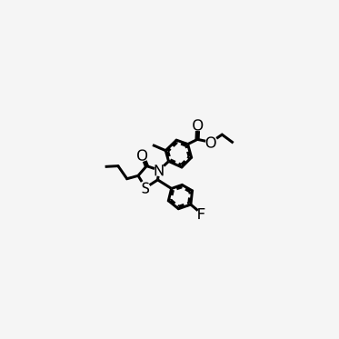 CCCC1SC(c2ccc(F)cc2)N(c2ccc(C(=O)OCC)cc2C)C1=O